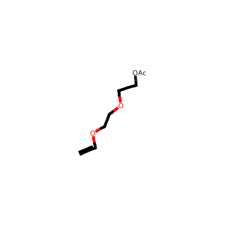 C=COCCOCCOC(C)=O